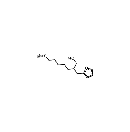 CCCCCCCCCCCCCCC(CO)Cc1ccco1